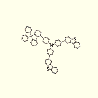 c1ccc(C2(c3ccccc3)c3ccccc3-c3c(-c4ccc(N(c5ccc(-c6ccc7sc8ccccc8c7c6)cc5)c5ccc(-c6ccc7sc8ccccc8c7c6)cc5)cc4)cccc32)cc1